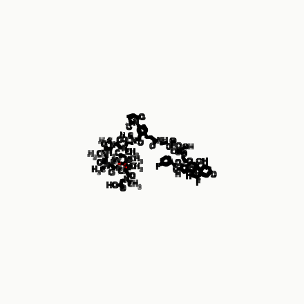 C=C(CN(C)C(=O)CN(C)C(=O)CN(C)C(=O)CN(C)C(=O)CN(C)C(=O)CN(C)C(=O)CN(C)C(=O)c1cc(N2C(=O)C=CC2=O)ccc1CCC(=O)NCCOP(=O)(O)OP(=O)(O)OCC(=O)[C@@]12O[C@H](c3cccc(F)c3)O[C@@H]1C[C@@H]1C2C[C@H](O)[C@@]2(F)[C@H]1C[C@H](F)C1=CC(=O)C=C[C@@]12C)N(C)CC(=O)N(C)CC(=O)N(C)CC(=O)O